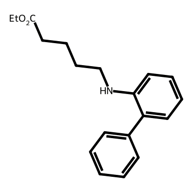 CCOC(=O)CCCCNc1ccccc1-c1ccccc1